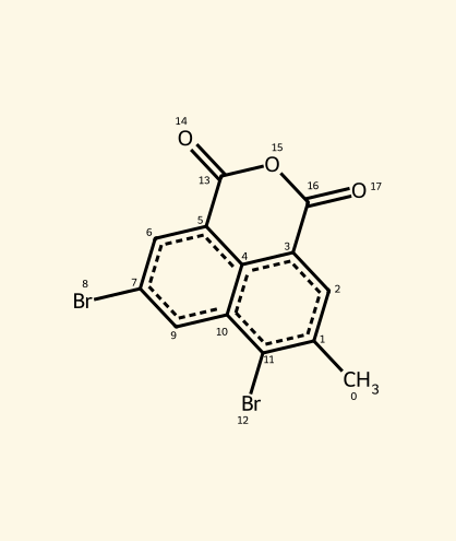 Cc1cc2c3c(cc(Br)cc3c1Br)C(=O)OC2=O